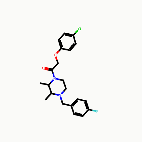 CC1C(C)N(C(=O)COc2ccc(Cl)cc2)CCN1Cc1ccc(F)cc1